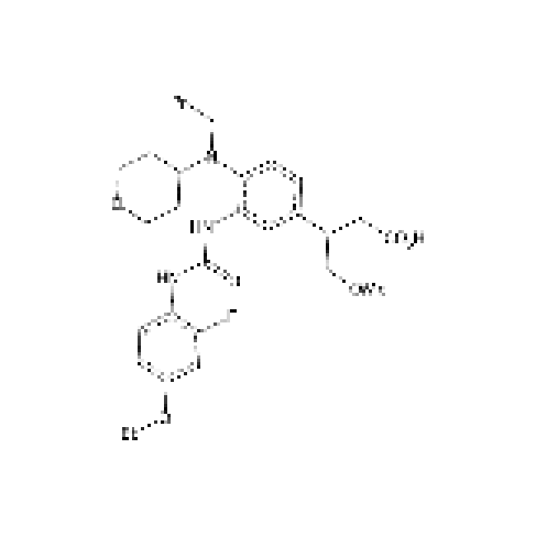 CCOc1ccc(NC(=O)Nc2cc(C(COC)CC(=O)O)ccc2N(CC(C)C)C2CCOCC2)c(F)c1